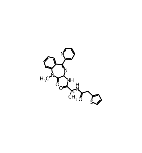 C[C@H](NC(=O)Cc1cccs1)C(=O)NC1N=C(c2ccccn2)c2ccccc2N(C)C1=O